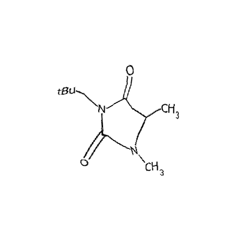 CC1C(=O)N(C(C)(C)C)C(=O)N1C